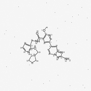 COc1ncc(-c2ccn3nc(N)nc3c2)cc1C(=O)NCc1cccnc1OCC1CCCC1